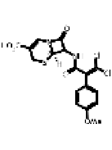 COc1ccc(C(C(=O)NC2C(=O)N3C=C(C(=O)O)CS[C@H]23)=C(Cl)Cl)cc1